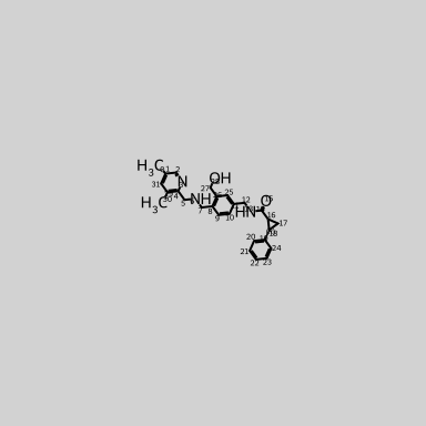 Cc1cnc(CNCc2ccc(CNC(=O)C3C[C@H]3c3ccccc3)cc2CO)c(C)c1